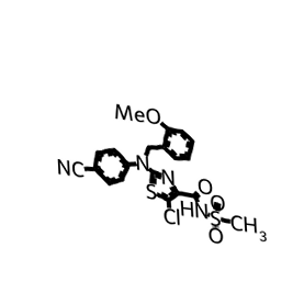 COc1ccccc1CN(c1ccc(C#N)cc1)c1nc(C(=O)NS(C)(=O)=O)c(Cl)s1